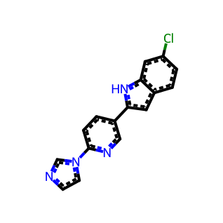 Clc1ccc2cc(-c3ccc(-n4ccnc4)nc3)[nH]c2c1